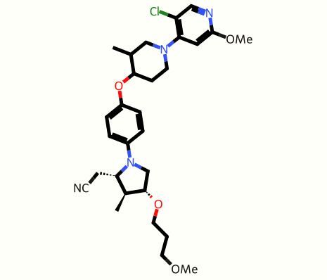 COCCCO[C@H]1CN(c2ccc(OC3CCN(c4cc(OC)ncc4Cl)CC3C)cc2)[C@@H](CC#N)[C@@H]1C